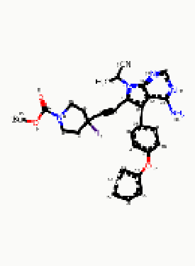 CC(C#N)n1c(C#CC2(I)CCN(C(=O)OC(C)(C)C)CC2)c(-c2ccc(Oc3ccccc3)cc2)c2c(N)ncnc21